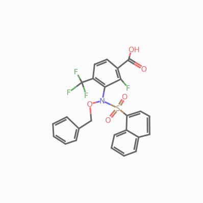 O=C(O)c1ccc(C(F)(F)F)c(N(OCc2ccccc2)S(=O)(=O)c2cccc3ccccc23)c1F